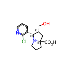 O=C(O)[C@@]12CCCN1[C@H](c1cccnc1Cl)[C@H](CO)C2